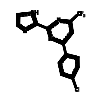 FC(F)(F)c1cc(-c2ccc(Cl)cc2)nc(-c2ncc[nH]2)n1